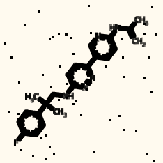 C=C(C)Nc1ccc(-c2ccc(NCC(C)(C)c3ccc(F)cc3)nn2)cn1